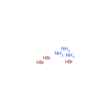 Br.Br.Br.N.N.N